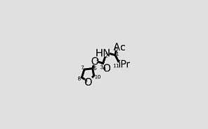 CC(=O)C(NC(=O)OC1CCOC1)C(C)C